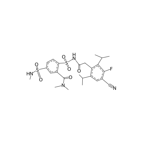 CNS(=O)(=O)c1ccc(S(=O)(=O)NC(=O)Cc2c(C(C)C)cc(C#N)c(F)c2C(C)C)c(C(=O)N(C)C)c1